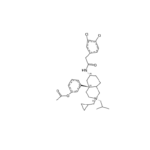 CC(=O)Oc1cccc([C@]23CC[N@+](CC(C)C)(CC4CC4)CC2CC[C@@H](NC(=O)Cc2ccc(Cl)c(Cl)c2)C3)c1